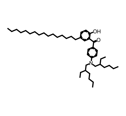 CCCCCCCCCCCCCCCCc1ccc(O)c(C(=O)c2ccc(N(CC(CC)CCCC)CC(CC)CCCC)cc2)c1